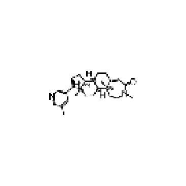 Cc1cncc(C2=CC[C@H]3[C@@H]4CCC5=CC(=O)N(C)CC[C@]5(C)[C@H]4CC[C@]23C)c1